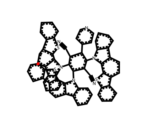 N#Cc1c(-c2ccncc2)c(-n2c3ccccc3c3ccc4c5ccccc5sc4c32)c(C#N)c(-n2c3ccccc3c3ccc4c5ccccc5sc4c32)c1-n1c2ccccc2c2ccc3c4ccccc4sc3c21